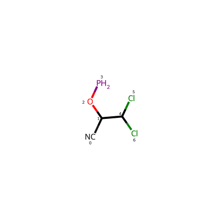 N#CC(OP)C(Cl)Cl